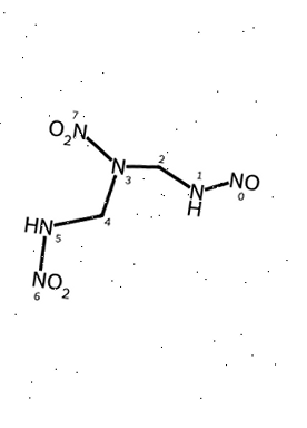 O=NNCN(CN[N+](=O)[O-])[N+](=O)[O-]